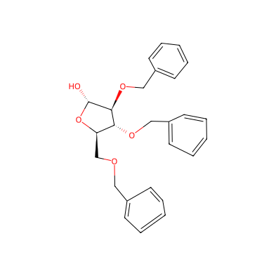 O[C@H]1O[C@H](COCc2ccccc2)[C@@H](OCc2ccccc2)[C@@H]1OCc1ccccc1